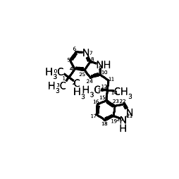 CC(C)(C)c1ccnc2[nH]c(CC(C)(C)c3cccc4[nH]ncc34)cc12